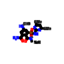 COc1cc(OC)nc(NS(=O)(=O)c2cc(NC=O)cc(C(N)=O)c2C(=O)N(C)C)n1.[NaH]